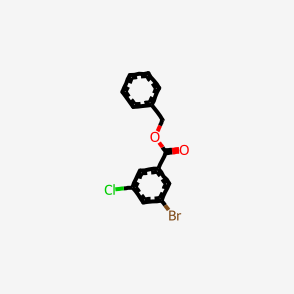 O=C(OCc1ccccc1)c1cc(Cl)cc(Br)c1